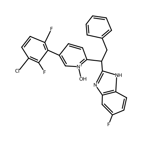 O[n+]1cc(-c2c(F)ccc(Cl)c2F)ccc1C(Cc1ccccc1)c1nc2cc(F)ccc2[nH]1